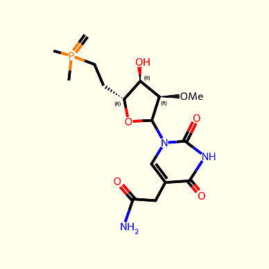 C=P(C)(C)CC[C@H]1OC(n2cc(CC(N)=O)c(=O)[nH]c2=O)[C@H](OC)[C@@H]1O